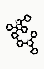 C1=CCCC(c2cnn3c(-c4ccccc4)c(-c4cccc(-c5cccc(-c6nc(C7=CCCC=C7)cc(-c7ccccc7)n6)c5)c4)c4ccccc4c23)=C1